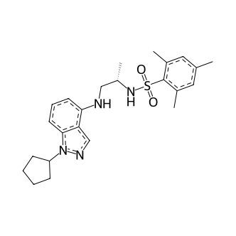 Cc1cc(C)c(S(=O)(=O)N[C@@H](C)CNc2cccc3c2cnn3C2CCCC2)c(C)c1